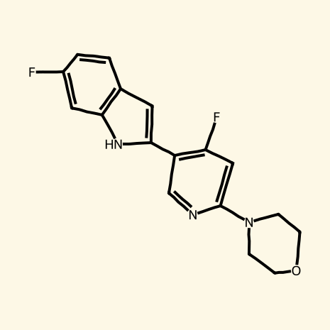 Fc1ccc2cc(-c3cnc(N4CCOCC4)cc3F)[nH]c2c1